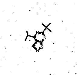 CC(C)c1nc(C(C)(C)C)nc2sncc12